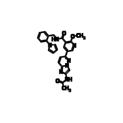 COc1ncc(-c2ccc3nc(NC(C)=O)cn3n2)cc1C(=O)NCc1ccccc1-n1cccc1